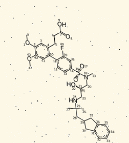 COc1cc(CCC(=O)O)c(-c2ccc(S(=O)(=O)N(C)C[C@H](O)CNC(C)(C)CC3Cc4ccccc4C3)cc2F)cc1OC